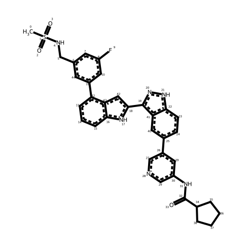 CS(=O)(=O)NCc1cc(F)cc(-c2cccc3[nH]c(-c4n[nH]c5ccc(-c6cncc(NC(=O)C7CCCC7)c6)cc45)cc23)c1